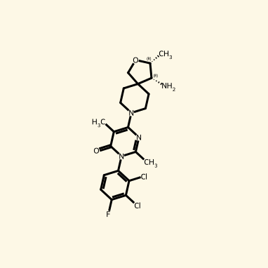 Cc1c(N2CCC3(CC2)CO[C@H](C)[C@@H]3N)nc(C)n(-c2ccc(F)c(Cl)c2Cl)c1=O